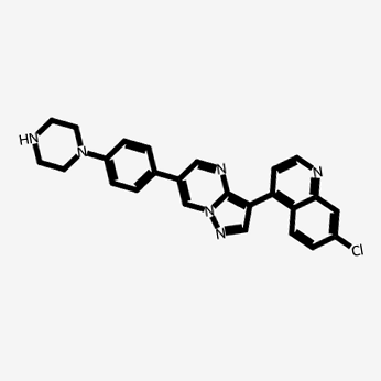 Clc1ccc2c(-c3cnn4cc(-c5ccc(N6CCNCC6)cc5)cnc34)ccnc2c1